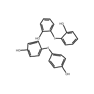 Oc1ccc(Sc2ccc(O)cc2)cc1.Oc1ccccc1Sc1ccccc1O